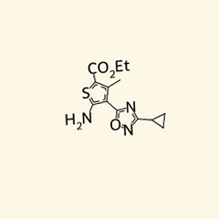 CCOC(=O)c1sc(N)c(-c2nc(C3CC3)no2)c1C